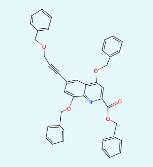 O=C(OCc1ccccc1)c1cc(OCc2ccccc2)c2cc(C#CCOCc3ccccc3)cc(OCc3ccccc3)c2n1